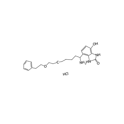 Cl.NC(CCCCCCCOCCc1ccccc1)c1ccc(O)c2[nH]c(=O)[nH]c12